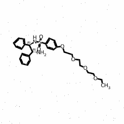 CCOCCOCCOCCOc1ccc(S(=O)(=O)N[C@H](c2ccccc2)[C@H](N)c2ccccc2)cc1